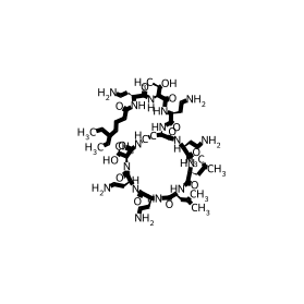 CCC(CC)CCCC(=O)N[C@H](CCN)C(=O)N[C@H](C(=O)N[C@@H](CCN)C(=O)N[C@H]1CCNC(=O)[C@H]([C@@H](C)O)NC(=O)[C@H](CCN)NC(=O)[C@H](CCN)NC(=O)[C@H](CC(C)C)NC(=O)[C@@H](CC(C)C)NC(=O)[C@H](CCN)NC1=O)[C@@H](C)O